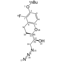 CCCCOc1ccc2c(c1F)CC[C@H]([C@@H](O)CN=[N+]=[N-])O2